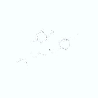 C=CC(=O)OCCCCOc1ccc(C(=O)O)cc1.Nc1ccc(Cl)cc1